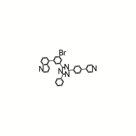 Brc1cc(-c2nc(-c3ccccc3)nc(-c3ccc(-c4ccncc4)cc3)n2)cc(-c2cccc3ncccc23)c1